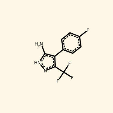 Nc1[nH]nc(C(F)(F)F)c1-c1ccc(F)cc1